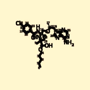 CCCCCOC(O)C(C)(C)NP(=O)(CO[C@H](C)Cn1cnc2c(N)ncnc21)NC(=O)c1ccc(Cl)cc1